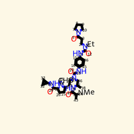 CCN(CCC(=O)N1CCCC1)C(=O)Nc1ccc(NC(=O)N(CC[C@H]2CCC(C(=O)NC3CC3)N2C=O)CC(C)NC(=O)C(C)NC)cc1